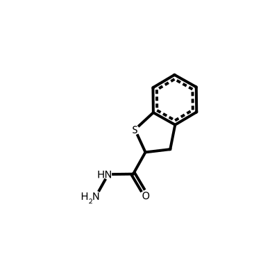 NNC(=O)C1Cc2ccccc2S1